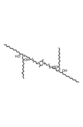 CCCCCCCCCCC(O)CN(CCCCSSCCN1CC(C)N(CCSSCCCCN(CC(O)CCCCCCCCCC)CC(O)CCCCCCCCCC)CC1C)CC(O)CCCCCCCCCC